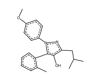 COc1ccc(-n2nc(CC(C)C)c(O)c2-c2ccccc2C)cc1